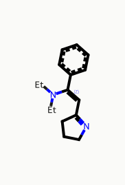 CCN(CC)/C(=C\C1=NCCC1)c1ccccc1